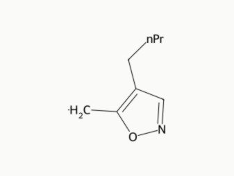 [CH2]c1oncc1CCCC